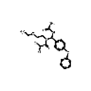 CCOCCN(C(=O)C(Cl)Cl)C(NC(N)=O)c1ccc(Oc2ccccc2)cc1